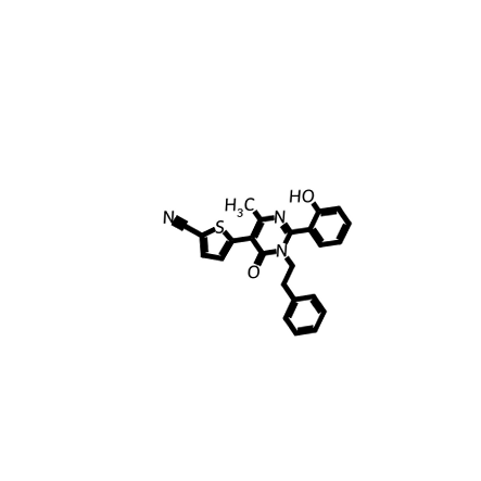 Cc1nc(-c2ccccc2O)n(CCc2ccccc2)c(=O)c1-c1ccc(C#N)s1